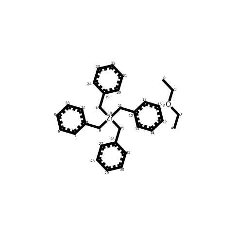 CCOCC.c1ccc([CH2][Zr]([CH2]c2ccccc2)([CH2]c2ccccc2)[CH2]c2ccccc2)cc1